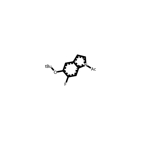 CC(=O)n1ccc2cc(OC(C)(C)C)c(F)cc21